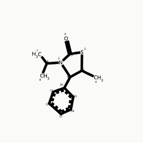 CC1SC(=O)N(C(C)C)C1c1ccccc1